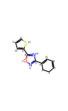 C1=CCCC(c2noc(-c3cccs3)n2)=C1